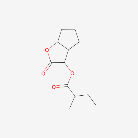 CCC(C)C(=O)OC1C(=O)OC2CCCC21